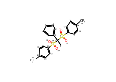 CC(c1ccccc1)(S(=O)(=O)c1ccc(C(F)(F)F)cc1)S(=O)(=O)c1ccc(C(F)(F)F)cc1